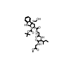 CCC(C)[C@H](NC(=O)CNC(=O)[C@@H]1CC2(SCO)c3ccccc3NC2N1C(=O)OC(C)(C)C)C(=O)NCC(=O)OC